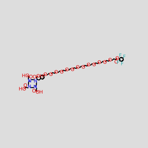 O=C(O)CN1CCN(CC(=O)O)CCN(C(Cc2ccc(OCCOCCOCCOCCOCCOCCOCCOCCOCCOCCOCCOCCOCCC(=O)Oc3c(F)c(F)cc(F)c3F)cc2)C(=O)O)CCN(CC(=O)O)CC1